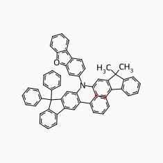 CC1(C)c2ccccc2-c2ccc(N(c3ccc4c(c3)oc3ccccc34)c3cc4c(cc3-c3ccccc3)-c3ccccc3C4(c3ccccc3)c3ccccc3)cc21